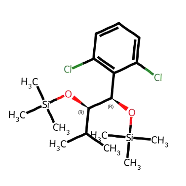 CC(C)[C@@H](O[Si](C)(C)C)[C@H](O[Si](C)(C)C)c1c(Cl)cccc1Cl